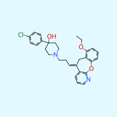 CCOc1cccc2c1CC(=CCCN1CCC(O)(c3ccc(Cl)cc3)CC1)c1cccnc1O2